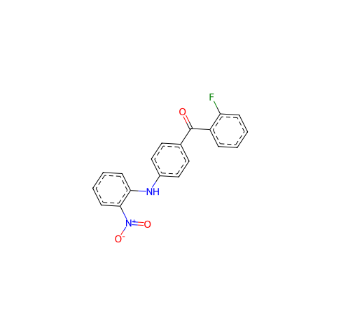 O=C(c1ccc(Nc2ccccc2[N+](=O)[O-])cc1)c1ccccc1F